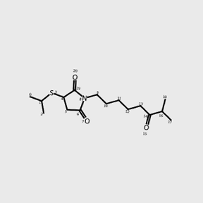 CC(C)SC1CC(=O)N(CCCCCC(=O)C(C)C)C1=O